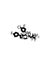 NC(CC(=O)N1CCn2cc(-c3ccc(F)cc3)nc2C1Nc1ccc(Cl)c(F)c1)C(F)(F)F